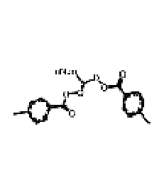 [CH2]CCCCCCCC[C](OOC(=O)c1ccc(C)cc1)OOC(=O)c1ccc(C)cc1